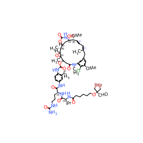 COc1cc2cc(c1Cl)N(C)C(=O)C[C@H](OC(=O)Nc1ccc(NC(=O)[C@H](CCCNC(N)=O)NC(=O)[C@@H](NC(=O)CCCCCOC(C=O)(CBr)CBr)C(C)C)cc1C)[C@]1(C)O[C@H]1[C@H](C)[C@@H]1C[C@@](O)(NC(=O)O1)[C@H](OC)/C=C/C=C(\C)C2